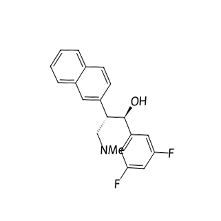 CNC[C@H](c1ccc2ccccc2c1)[C@@H](O)c1cc(F)cc(F)c1